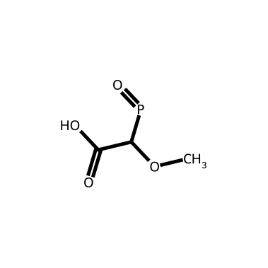 COC(P=O)C(=O)O